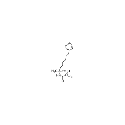 CC(C)(C)OC(=O)NC(C)(CCCCCCc1ccccc1)C(=O)O